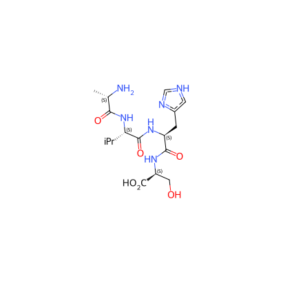 CC(C)[C@H](NC(=O)[C@H](C)N)C(=O)N[C@@H](Cc1c[nH]cn1)C(=O)N[C@@H](CO)C(=O)O